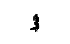 CCCCCOCNc1nc(-c2ccn3c(-c4cccc(NC(=O)NCC(F)(F)F)c4)cnc3c2)ncc1F